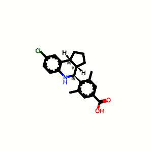 Cc1cc(C(=O)O)cc(C)c1[C@H]1Nc2ccc(Cl)cc2[C@@H]2CCC[C@H]12